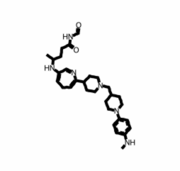 CNc1ccc(N2CCC(CN3CCC(C4=CCC=C(NC(C)CCC(=O)NC=O)C=N4)CC3)CC2)cc1